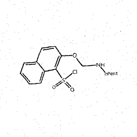 CCCCCNCOc1ccc2ccccc2c1S(=O)(=O)Cl